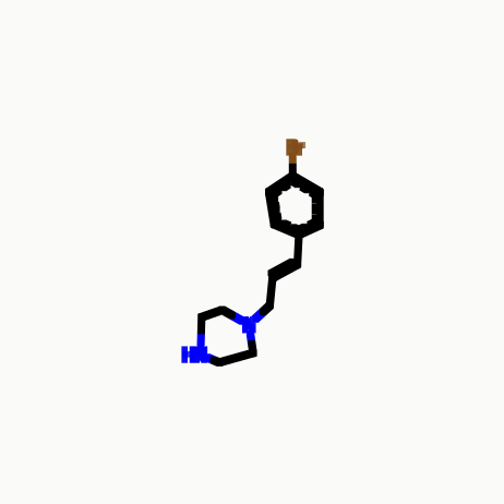 Brc1ccc(C=CCN2CCNCC2)cc1